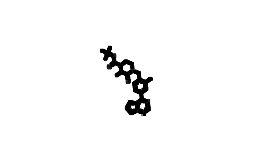 Cc1cc(-c2ncnn3cccc23)ccc1CN1CCN(C(=O)OC(C)(C)C)C(C)C1=O